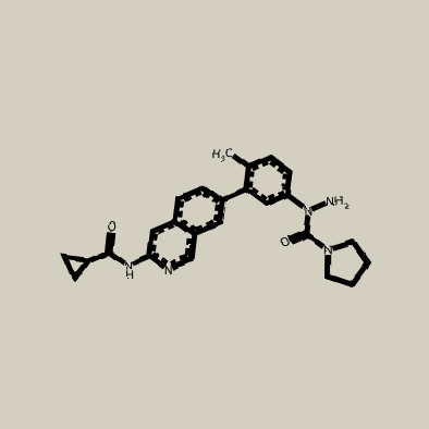 Cc1ccc(N(N)C(=O)N2CCCC2)cc1-c1ccc2cc(NC(=O)C3CC3)ncc2c1